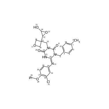 Cc1ccc(Cn2c(=O)n(CC3(C4OC4O)COC3)c(=O)[nH]/c2=N\c2ccc(OC(C)C)c(Cl)c2)cc1